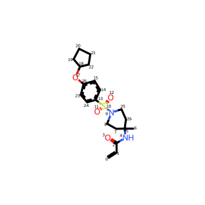 C=CC(=O)NC1(C)CCN(S(=O)(=O)c2ccc(OC3CCCC3)cc2)CC1